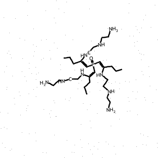 CCCC(=CP(=O)(C=C(CCC)NCCNCCN)C=C(CCC)NCCNCCN)NCCNCCN